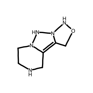 C1CN2NN3NOCC3=C2CN1